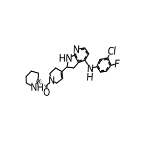 O=C([C@H]1CCCCN1)N1CC=C(C2Cc3c(Nc4ccc(F)c(Cl)c4)ccnc3N2)CC1